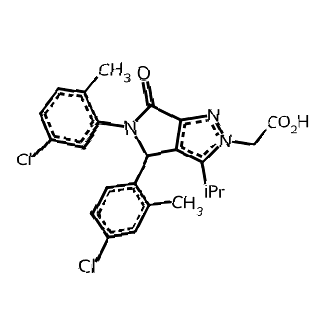 Cc1cc(Cl)ccc1C1c2c(nn(CC(=O)O)c2C(C)C)C(=O)N1c1cc(Cl)ccc1C